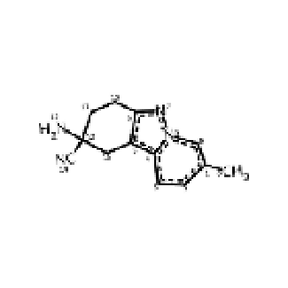 Cc1ccc2c3c(nn2c1)CCC(N)(C#N)C3